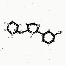 Clc1cccc(-c2nccc(Nc3ccncn3)n2)c1